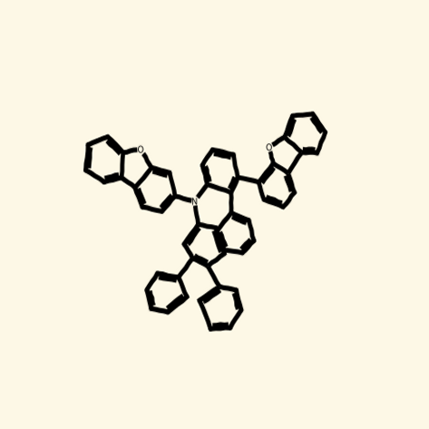 c1ccc(-c2ccc(N(c3ccc4c(c3)oc3ccccc34)c3cccc(-c4cccc5c4oc4ccccc45)c3-c3ccccc3)cc2-c2ccccc2)cc1